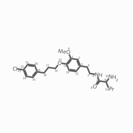 COc1cc(CCNC(=O)C(N)C(C)C)ccc1OCCCc1ccc(Cl)cc1